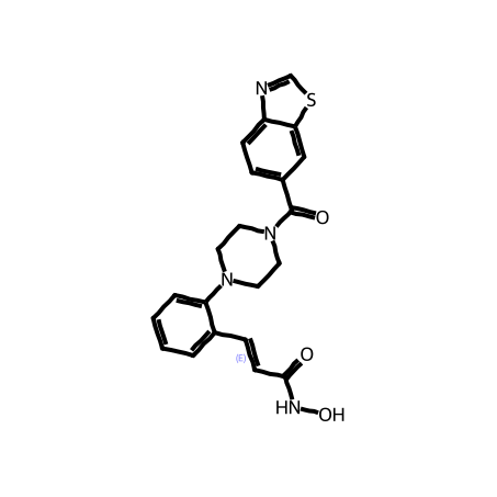 O=C(/C=C/c1ccccc1N1CCN(C(=O)c2ccc3ncsc3c2)CC1)NO